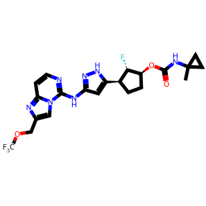 CC1(NC(=O)O[C@H]2CC[C@@H](c3cc(Nc4nccc5nc(COC(F)(F)F)cn45)n[nH]3)[C@@H]2F)CC1